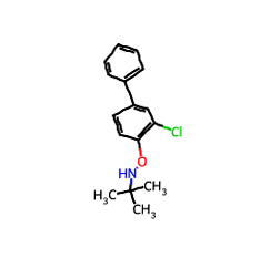 CC(C)(C)NOc1ccc(-c2ccccc2)cc1Cl